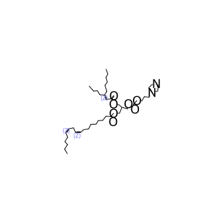 CCCCC/C=C\C/C=C\CCCCCCCC(=O)OCC(COC(=O)/C=C(/CCCC)CCCCCC)COC(=O)OCCCN1CCN(C)CC1